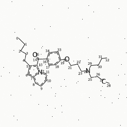 CCCCCc1cc2ccccn2c1C(=O)c1ccc(OCCCN(CCCC)CCCC)cc1